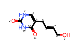 O=c1[nH]cc(CC=CCO)c(=O)[nH]1